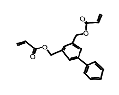 C=CC(=O)OCc1cc(COC(=O)C=C)cc(-c2ccccc2)c1